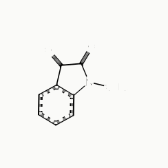 O=CN1C(=O)C(=O)c2ccccc21